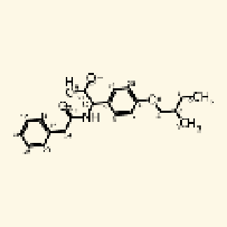 CCC(C)COc1ccc(C(NC(=O)Cc2ccccc2)C(C)O)cc1